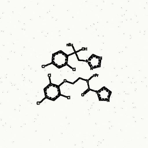 CCCCC(O)(Cn1cncn1)c1ccc(Cl)cc1Cl.CCCN(CCOc1c(Cl)cc(Cl)cc1Cl)C(=O)n1ccnc1